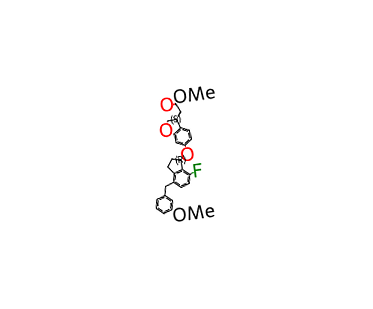 COC(=O)C[C@@H]1COc2cc(O[C@@H]3CCc4c(Cc5cccc(OC)c5)ccc(F)c43)ccc21